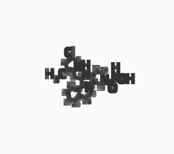 Cc1cc(Cl)cnc1CC(NC1CCN(C(=O)NO)CC1)c1nccc2ccccc12